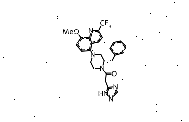 COc1ccc(N2CCN(C(=O)Cc3ncn[nH]3)[C@@H](Cc3ccccc3)C2)c2ccc(C(F)(F)F)nc12